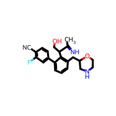 CC(=N)C(CO)c1c(CC2CNCCO2)cccc1-c1ccc(C#N)c(F)c1